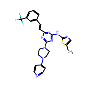 Cc1cnc(Nc2nc(/C=C/c3cccc(C(F)(F)F)c3)nc(N3CCN(c4ccncc4)CC3)n2)s1